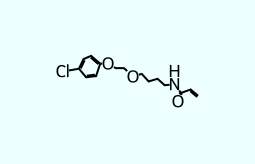 C=CC(=O)NCCCCOCCOc1ccc(Cl)cc1